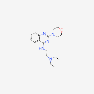 CCN(CC)CCNc1nc(N2CCOCC2)nc2ccccc12